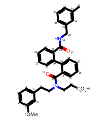 COc1cccc(CCN(CCC(=O)O)C(=O)c2ccccc2-c2ccccc2C(=O)NCc2cccc(C)c2)c1